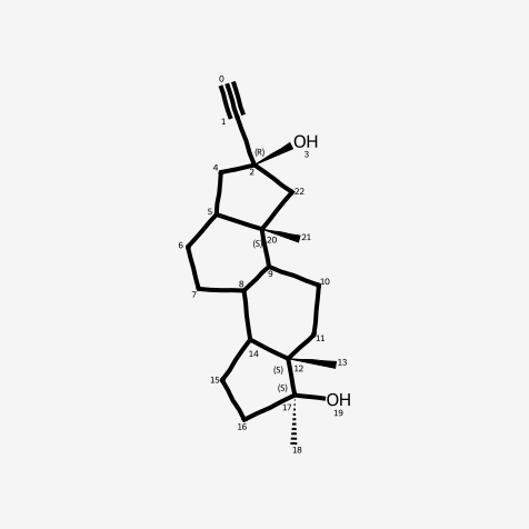 C#C[C@@]1(O)CC2CCC3C(CC[C@@]4(C)C3CC[C@]4(C)O)[C@@]2(C)C1